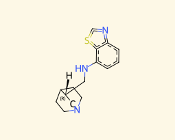 c1cc(NC[C@@H]2CN3CCC2CC3)c2scnc2c1